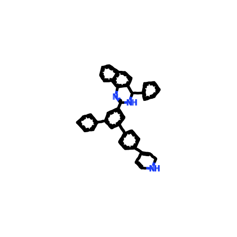 C1=CC(c2ccc(-c3cc(C4=Nc5c(ccc6ccccc56)C(c5ccccc5)N4)cc(-c4ccccc4)c3)cc2)=CCN1